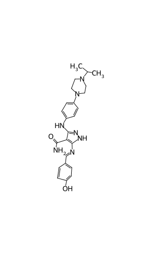 CC(C)N1CCN(c2ccc(Nc3n[nH]c(N=Cc4ccc(O)cc4)c3C(N)=O)cc2)CC1